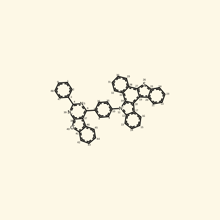 c1ccc(-c2nc(-c3ccc(-n4c5ccccc5c5c6c7ccccc7sc6c6ccccc6c54)cc3)c3c(n2)oc2ccccc23)cc1